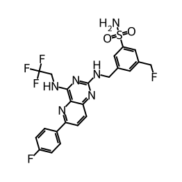 NS(=O)(=O)c1cc(CF)cc(CNc2nc(NCC(F)(F)F)c3nc(-c4ccc(F)cc4)ccc3n2)c1